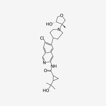 CC(C)(O)C1CC1C(=O)Nc1cc2cc(C3CCN([C@@]4(C)COC[C@H]4O)CC3)c(Cl)cc2cn1